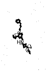 CCOC(=O)C1CC(NCc2ccc(OCCCCCc3ccccc3)c(-c3cccs3)c2)C1